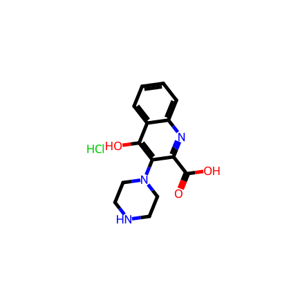 Cl.O=C(O)c1nc2ccccc2c(O)c1N1CCNCC1